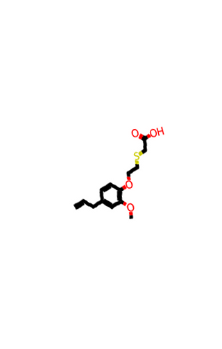 C=CCc1ccc(OCCSCC(=O)O)c(OC)c1